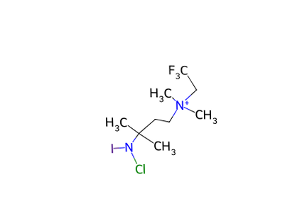 CC(C)(CC[N+](C)(C)CC(F)(F)F)N(Cl)I